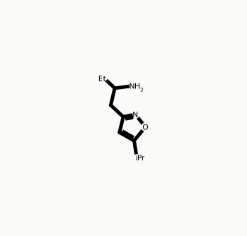 CCC(N)Cc1cc(C(C)C)on1